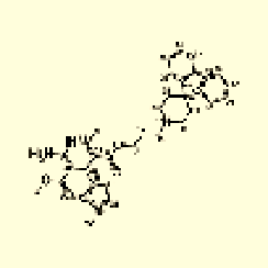 COC(=O)C1=C(N)NC(C)=C(C(=O)OCCCN2CCC(c3ccccc3)(c3ccccc3)CC2)C1c1ccc(C)s1